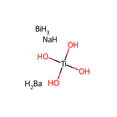 [BaH2].[BiH3].[NaH].[OH][Ti]([OH])([OH])[OH]